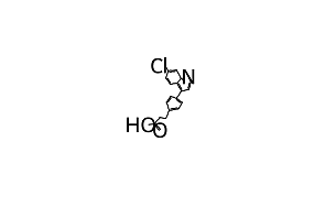 O=C(O)CCc1ccc(-c2ccnc3cc(Cl)ccc23)cc1